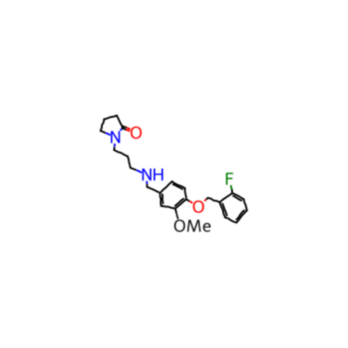 COc1cc(CNCCCN2CCCC2=O)ccc1OCc1ccccc1F